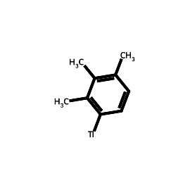 Cc1cc[c]([Tl])c(C)c1C